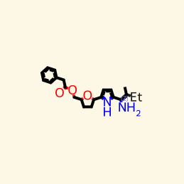 CC/C(C)=C(\N)c1ccc(C2CCC(COC(=O)Cc3ccccc3)O2)[nH]1